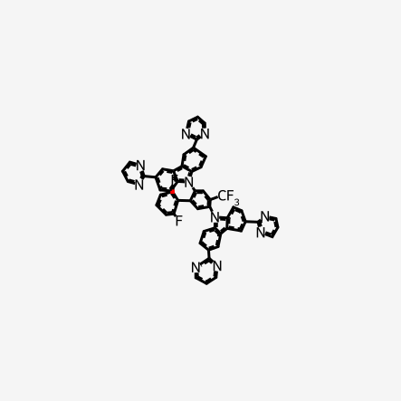 Fc1cccc(F)c1-c1cc(-n2c3ccc(-c4ncccn4)cc3c3cc(-c4ncccn4)ccc32)c(C(F)(F)F)cc1-n1c2ccc(-c3ncccn3)cc2c2cc(-c3ncccn3)ccc21